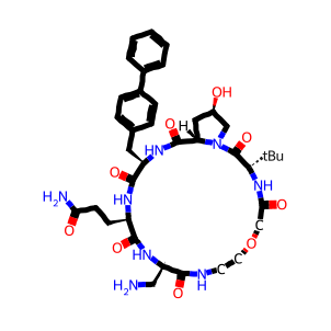 CC(C)(C)[C@@H]1NC(=O)COCCNC(=O)[C@@H](CN)NC(=O)[C@@H](CCC(N)=O)NC(=O)[C@@H](Cc2ccc(-c3ccccc3)cc2)NC(=O)[C@@H]2C[C@@H](O)CN2C1=O